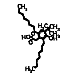 CCCCCCCCc1cc(C(C)(C)C)c(O)c(CCCCCCCC)c1CS(=O)(=O)O